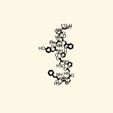 CC[C@H](C)[C@H](NC(=O)[C@H](Cc1ccc(O)cc1)NC(=O)[C@@H]1CCCN1C(=O)[C@H](CS)NC(=O)[C@@H]1CCCN1C(=O)CNC(=O)[C@H](CC(C)C)NC(=O)[C@H](CS)NC(=O)[C@@H](N)Cc1ccccc1)C(=O)N[C@@H](Cc1c[nH]c2ccccc12)C(=O)N[C@@H](CO)C(=O)N[C@@H](CC(C)C)C(=O)O